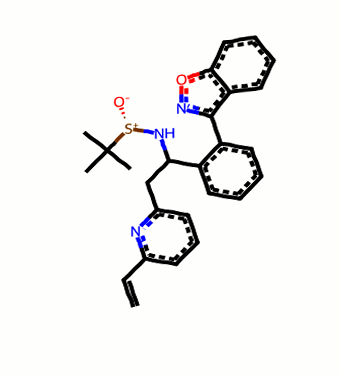 C=Cc1cccc(CC(N[S@@+]([O-])C(C)(C)C)c2ccccc2-c2noc3ccccc23)n1